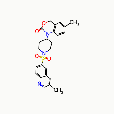 Cc1ccc2c(c1)COC(=O)N2C1CCN(S(=O)(=O)c2ccc3ncc(C)cc3c2)CC1